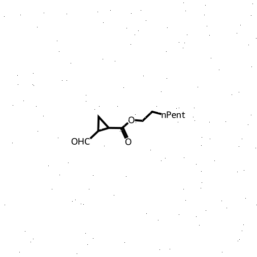 CCCCCCCOC(=O)C1CC1C=O